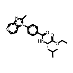 CCOC(=O)[C@H](CC(C)C)NC(=O)c1ccc(-n2c(C)nc3cnccc32)cc1